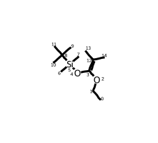 CCOC(O[Si](C)(C)C(C)(C)C)=C(C)C